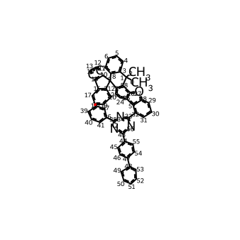 CC1(C)c2ccccc2C2(c3ccccc3-c3ccccc32)c2ccc3c(oc4cccc(-c5nc(-c6ccccc6)nc(-c6ccc(-c7ccccc7)cc6)n5)c43)c21